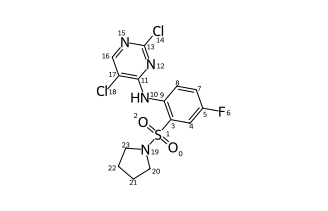 O=S(=O)(c1cc(F)ccc1Nc1nc(Cl)ncc1Cl)N1CCCC1